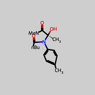 CCCCC(=O)N(c1ccc(C)cc1)[C@](C)(O)C(=O)NC